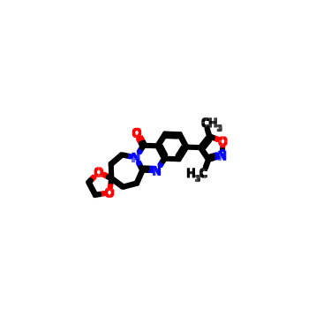 Cc1noc(C)c1-c1ccc2c(=O)n3c(nc2c1)CCC1(CC3)OCCO1